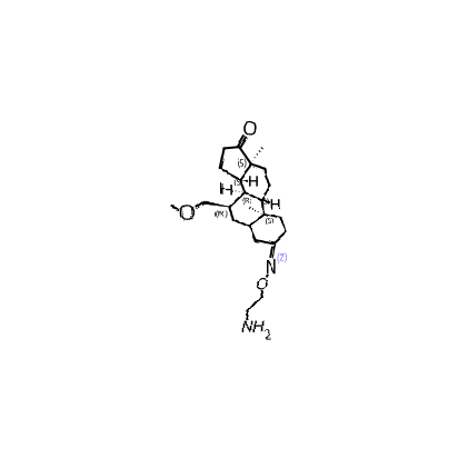 COC[C@@H]1CC2C/C(=N\OCCN)CC[C@]2(C)[C@H]2CC[C@]3(C)C(=O)CC[C@H]3[C@H]12